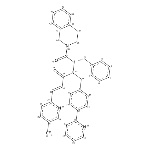 O=C([C@H](Cc1ccccc1)N(Cc1ccc(-c2ccccn2)cc1)C(=O)/C=C/c1ccc(C(F)(F)F)cn1)N1CCc2ccccc2C1